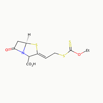 CCOC(=S)SC/C=C1\S[C@@H]2CC(=O)N2C1C(=O)O